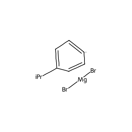 CC(C)c1cc[c]cc1.[Br][Mg][Br]